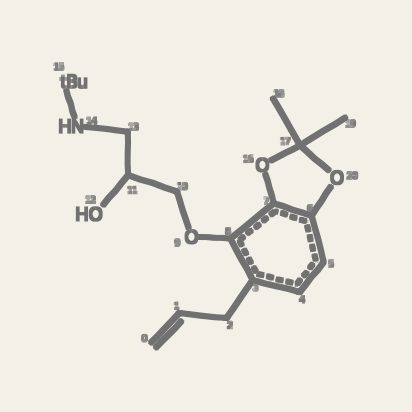 C=CCc1ccc2c(c1OCC(O)CNC(C)(C)C)OC(C)(C)O2